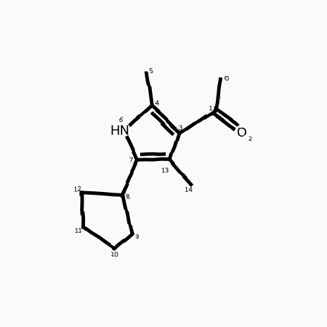 CC(=O)c1c(C)[nH]c(C2CCCC2)c1C